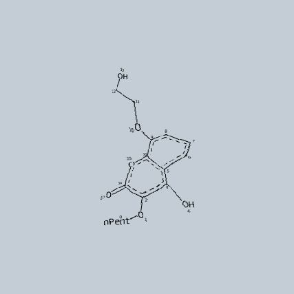 CCCCCOc1c(O)c2cccc(OCCO)c2oc1=O